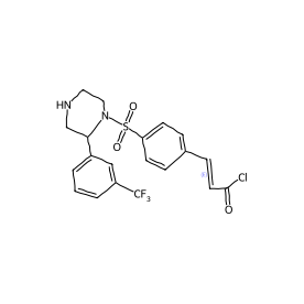 O=C(Cl)/C=C/c1ccc(S(=O)(=O)N2CCNCC2c2cccc(C(F)(F)F)c2)cc1